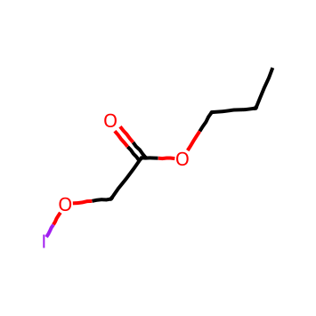 CCCOC(=O)COI